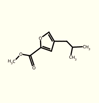 COC(=O)c1cc(CC(C)C)co1